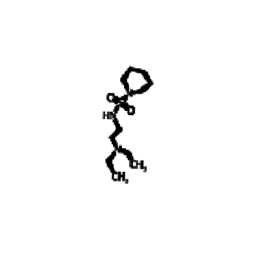 CCN(CC)CCNS(=O)(=O)N1CC[CH]CC1